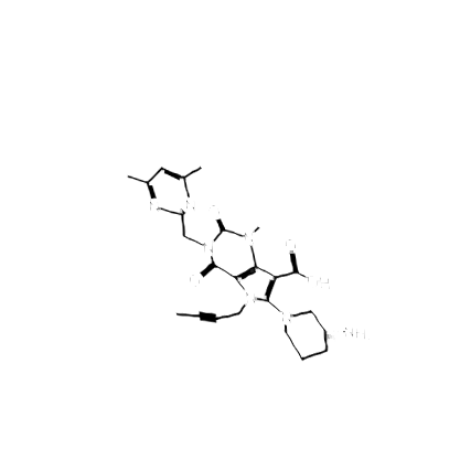 CC#CCn1c(N2CCC[C@@H](N)C2)c(C(=O)O)c2c1c(=O)n(Cc1nc(C)cc(C)n1)c(=O)n2C